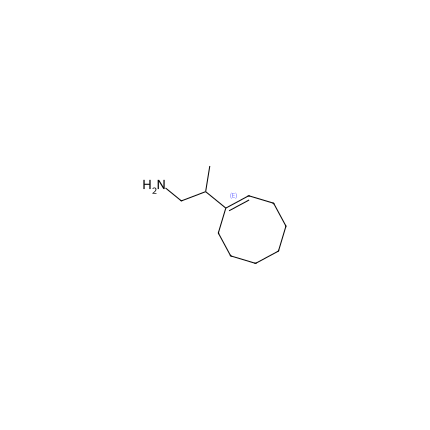 CC(CN)/C1=C/CCCCCC1